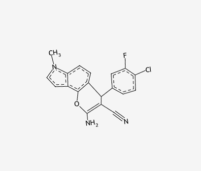 Cn1ccc2c3c(ccc21)C(c1ccc(Cl)c(F)c1)C(C#N)=C(N)O3